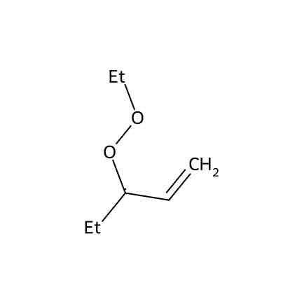 C=C[C](CC)OOCC